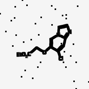 CCOC(=O)COc1cn2ccnc2cc1Cl